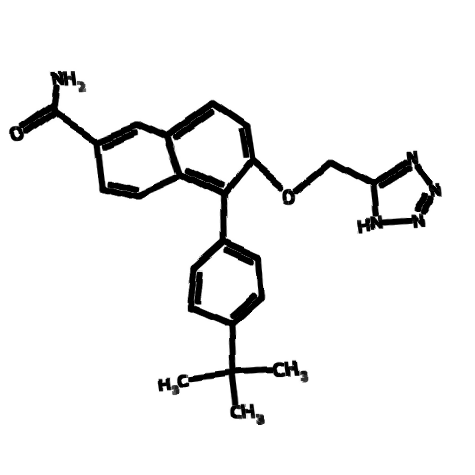 CC(C)(C)c1ccc(-c2c(OCc3nnn[nH]3)ccc3cc(C(N)=O)ccc23)cc1